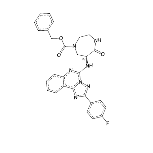 O=C1NCCN(C(=O)OCc2ccccc2)C[C@@H]1Nc1nc2ccccc2c2nc(-c3ccc(F)cc3)nn12